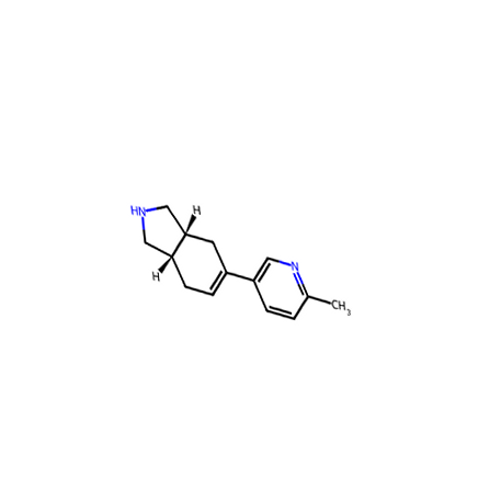 Cc1ccc(C2=CC[C@@H]3CNC[C@@H]3C2)cn1